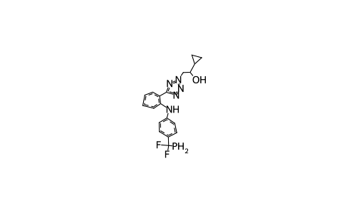 OC(Cn1nnc(-c2ccccc2Nc2ccc(C(F)(F)P)cc2)n1)C1CC1